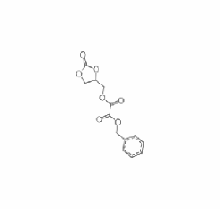 O=C1OCC(COC(=O)C(=O)OCc2ccccc2)O1